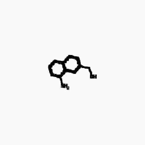 Nc1cccc2ccc(CO)cc12